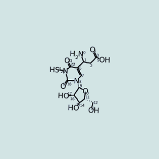 NC(CC(=O)O)c1cn([C@@H]2O[C@H](CO)[C@@H](O)[C@H]2O)c(=O)n(S)c1=O